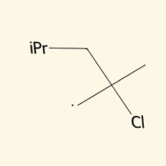 [CH2]C(C)(Cl)CC(C)C